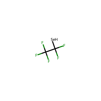 FC(F)(F)C(F)(F)[SeH]